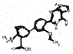 CCOc1cc(-c2ccc(N)c(C(=O)O)c2)ccc1-c1nc2[nH]cnc2c(=O)[nH]1